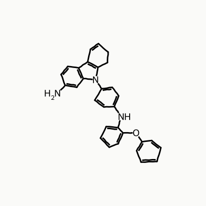 Nc1ccc2c3c(n(-c4ccc(Nc5ccccc5Oc5ccccc5)cc4)c2c1)CCC=C3